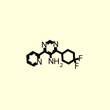 Nc1c(-c2ccccn2)ncnc1C1CCC(F)(F)CC1